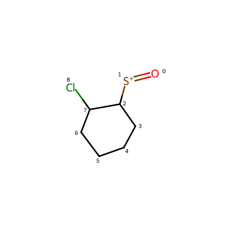 O=[S+]C1CCCCC1Cl